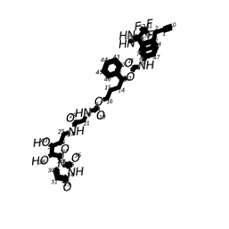 C#CCC1c2ccc(c(NC(=O)OC(CCCOC(=O)NCC(=O)NCC3OC(n4ccc(=O)[nH]c4=O)C(O)C3O)c3ccccc3)c2)C1C1(C(F)(F)F)NN1